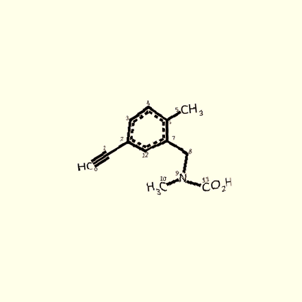 C#Cc1ccc(C)c(CN(C)C(=O)O)c1